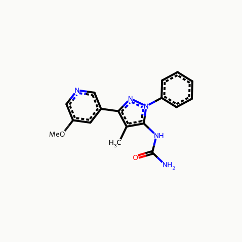 COc1cncc(-c2nn(-c3ccccc3)c(NC(N)=O)c2C)c1